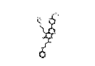 CCCOCCn1c(=O)c(NCCNc2ccccn2)nc2ncc(-c3ccc(OC)nc3)cc21